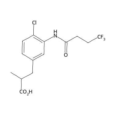 CC(Cc1ccc(Cl)c(NC(=O)CCC(F)(F)F)c1)C(=O)O